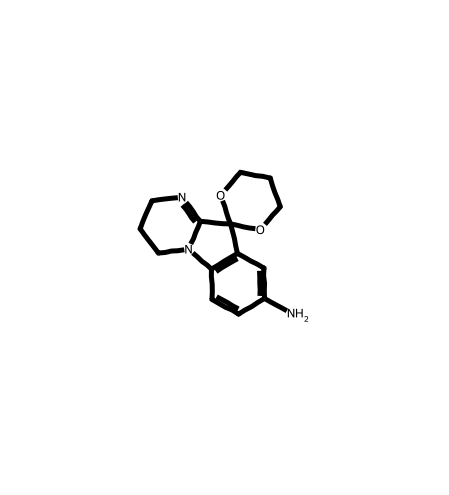 Nc1ccc2c(c1)C1(OCCCO1)C1=NCCCN12